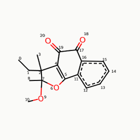 CCC1(C)C2=C(OC1(C)OC)c1ccccc1C(=O)C2=O